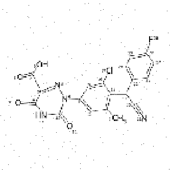 Cc1cc(-n2nc(C(=O)O)c(=O)[nH]c2=O)cc(Cl)c1C(C#N)c1ccc(F)cc1